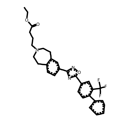 CCOC(=O)CCCN1CCc2ccc(-c3noc(-c4ccc(-c5ccccc5)c(C(F)(F)F)c4)n3)cc2CC1